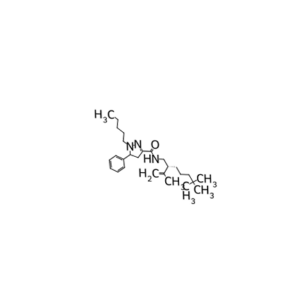 C=C(C)[C@@H](CCCC(C)(C)C)CNC(=O)C1=NN(CCCCC)C(c2ccccc2)C1